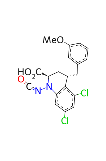 COc1cccc(C[C@H]2C[C@H](C(=O)O)N(N=C=O)c3cc(Cl)cc(Cl)c32)c1